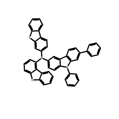 c1ccc(-c2ccc3c4cc(N(c5ccc6c(c5)sc5ccccc56)c5cccc6oc7ccccc7c56)ccc4n(-c4ccccc4)c3c2)cc1